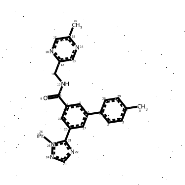 Cc1ccc(-c2cc(C(=O)NCc3cnc(C)cn3)cc(-c3ncnn3C(C)C)c2)cc1